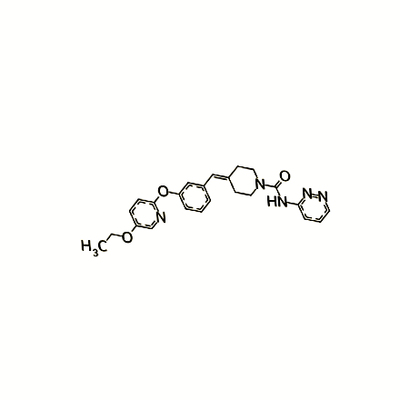 CCOc1ccc(Oc2cccc(C=C3CCN(C(=O)Nc4cccnn4)CC3)c2)nc1